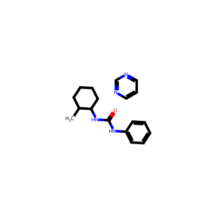 CC1CCCCC1NC(=O)Nc1ccccc1.c1cncnc1